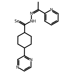 CC(=NNC(=[Se])C1CCC(c2cnccn2)CC1)c1ccccn1